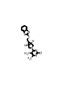 Cc1c(N2C[C@@H]3C(CSc4nc5ccccc5s4)[C@@H]3C2)nc(Cl)nc1C(F)(F)F